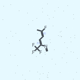 C=N/C(=C\C=C(/C)F)C(F)(F)F